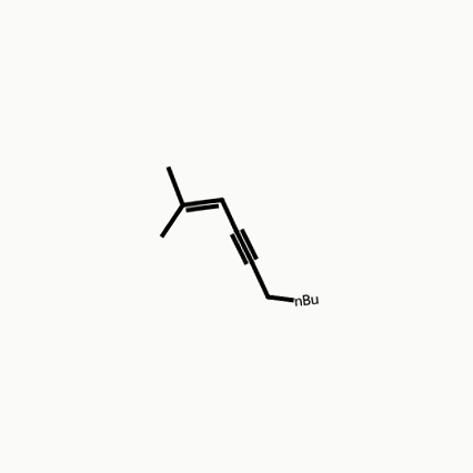 CCCCCC#CC=C(C)C